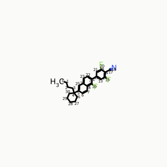 CCCCC1(c2ccc3c(F)c(-c4cc(F)c(C#N)c(F)c4)ccc3c2)CCCCC1